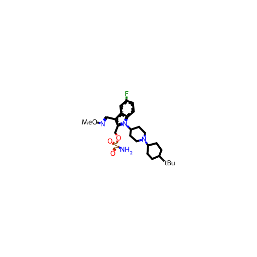 CON=Cc1c(COS(N)(=O)=O)n(C2CCN(C3CCC(C(C)(C)C)CC3)CC2)c2ccc(F)cc12